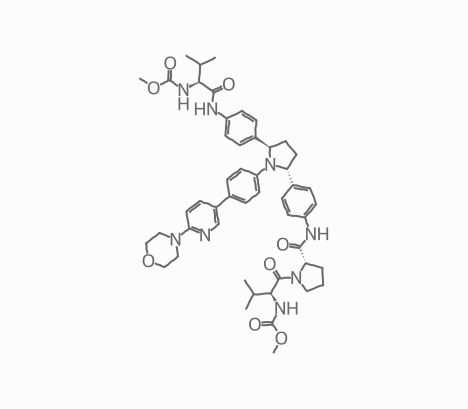 COC(=O)N[C@H](C(=O)Nc1ccc([C@H]2CC[C@H](c3ccc(NC(=O)[C@@H]4CCCN4C(=O)[C@@H](NC(=O)OC)C(C)C)cc3)N2c2ccc(-c3ccc(N4CCOCC4)nc3)cc2)cc1)C(C)C